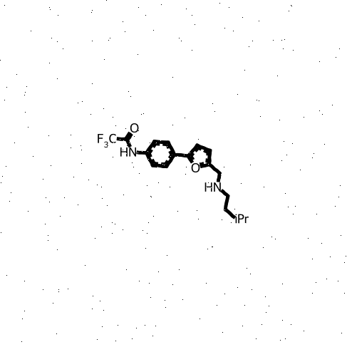 CC(C)CCNCc1ccc(-c2ccc(NC(=O)C(F)(F)F)cc2)o1